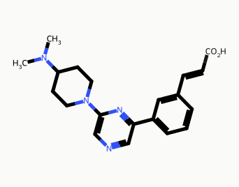 CN(C)C1CCN(c2cncc(-c3cccc(C=CC(=O)O)c3)n2)CC1